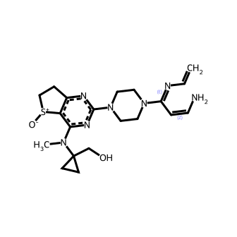 C=C/N=C(\C=C/N)N1CCN(c2nc3c(c(N(C)C4(CO)CC4)n2)[S+]([O-])CC3)CC1